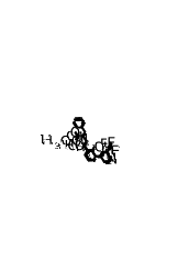 CC(C)(C)OC(=O)N(Cc1ccccc1)CC(O)c1cccc(-c2ccnc(C(F)(F)F)c2)c1CO